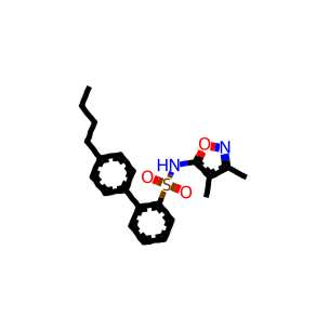 CCCCc1ccc(-c2ccccc2S(=O)(=O)Nc2onc(C)c2C)cc1